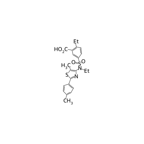 CCc1ccc(S(=O)(=O)N(CC)c2nc(-c3ccc(C)cc3)sc2C)cc1C(=O)O